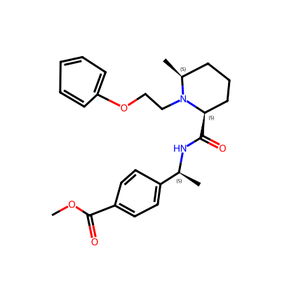 COC(=O)c1ccc([C@H](C)NC(=O)[C@@H]2CCC[C@H](C)N2CCOc2ccccc2)cc1